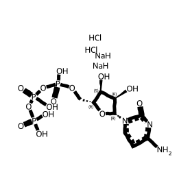 Cl.Cl.Nc1ccn([C@@H]2O[C@H](COP(=O)(O)OP(=O)(O)OP(=O)(O)O)[C@@H](O)[C@H]2O)c(=O)n1.[NaH].[NaH]